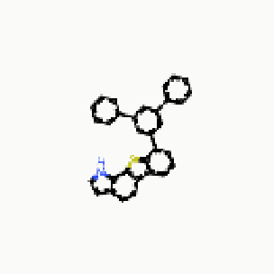 c1ccc(-c2cc(-c3ccccc3)cc(-c3cccc4c3sc3c4ccc4cc[nH]c43)c2)cc1